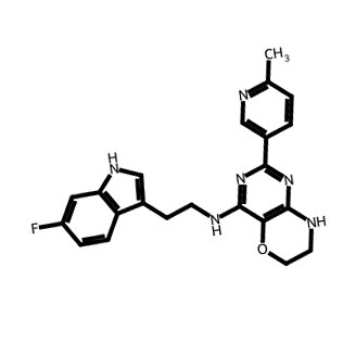 Cc1ccc(-c2nc3c(c(NCCc4c[nH]c5cc(F)ccc45)n2)OCCN3)cn1